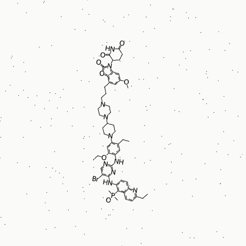 CCOc1cc(N2CCC(N3CCN(CCCc4cc(OC)cc5c4oc(=O)n5C4CCC(=O)NC4=O)CC3)CC2)c(CC)cc1Nc1ncc(Br)c(Nc2ccc3nc(CC)ccc3c2P(C)(C)=O)n1